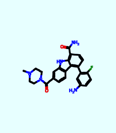 CN1CCN(C(=O)c2ccc3c(c2)[nH]c2c(C(N)=O)ccc(-c4cc(N)ccc4F)c23)CC1